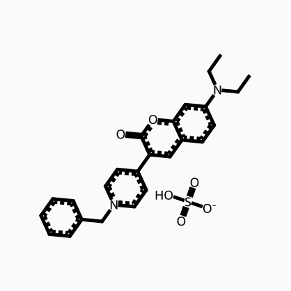 CCN(CC)c1ccc2cc(-c3cc[n+](Cc4ccccc4)cc3)c(=O)oc2c1.O=S(=O)([O-])O